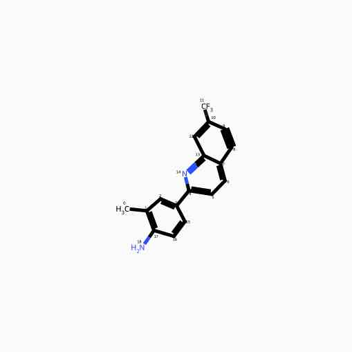 Cc1cc(-c2ccc3c#cc(C(F)(F)F)cc3n2)ccc1N